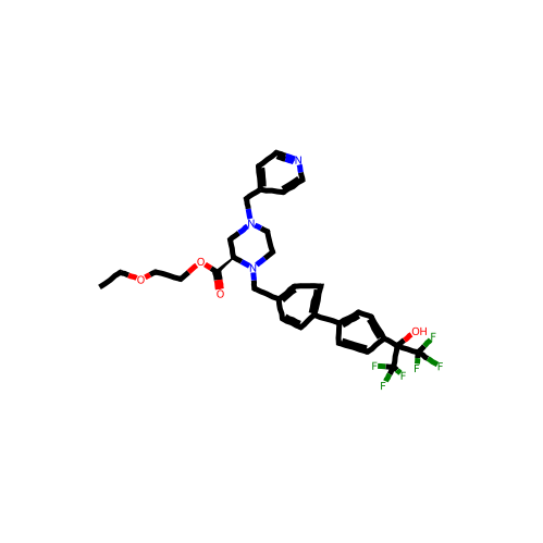 CCOCCOC(=O)[C@H]1CN(Cc2ccncc2)CCN1Cc1ccc(-c2ccc(C(O)(C(F)(F)F)C(F)(F)F)cc2)cc1